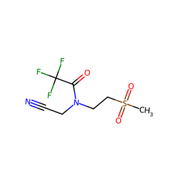 CS(=O)(=O)CCN(CC#N)C(=O)C(F)(F)F